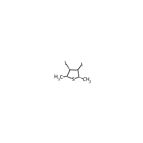 CC1SC(C)C(I)C1I